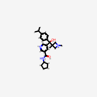 CC(C)c1ccc(C(O)(c2cncc(C(=O)NC3CCCC3)c2)C2(C)CN(C)C2)cc1